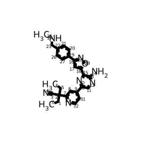 CCC(C#N)(CC)c1cc(-c2cnc(N)c(-c3cc(-c4ccc(CNC)cc4)no3)n2)ccn1